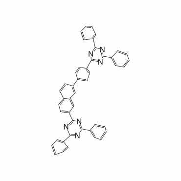 c1ccc(-c2nc(-c3ccccc3)nc(-c3ccc(-c4ccc5ccc(-c6nc(-c7ccccc7)nc(-c7ccccc7)n6)cc5c4)cc3)n2)cc1